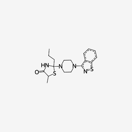 CCCC1(N2CCN(c3nsc4ccccc34)CC2)NC(=O)C(C)S1